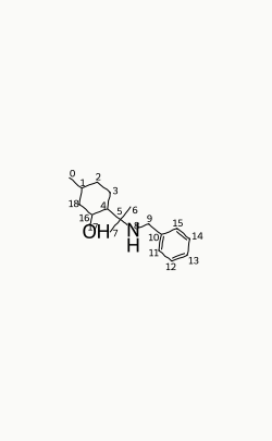 CC1CCC(C(C)(C)NCc2ccccc2)C(O)C1